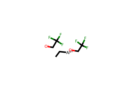 C[CH2][Al+2].[O-]CC(F)(F)F.[O-]CC(F)(F)F